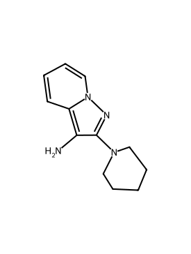 Nc1c(N2CCCCC2)nn2ccccc12